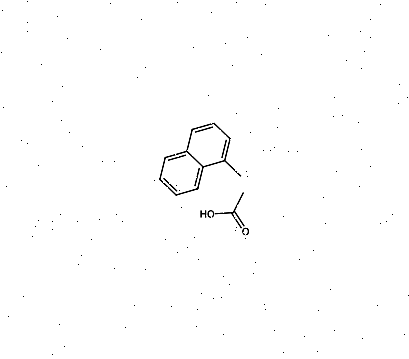 CC(=O)O.Cc1cccc2ccccc12